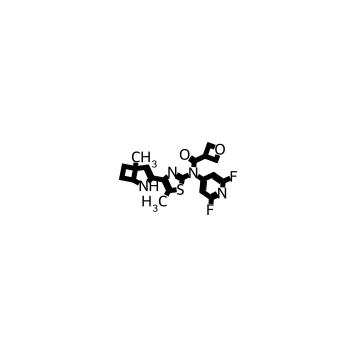 Cc1sc(N(C(=O)C2COC2)c2cc(F)nc(F)c2)nc1C1=CC2(C)CCC2N1